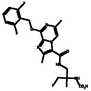 Cc1cn2c(C(=O)NCC(C)(CF)NC(=O)O)c(C)nc2c(OCc2c(F)cccc2F)n1